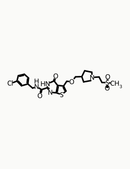 CS(=O)(=O)CCN1CCC(COCc2csc3nc(C(=O)NCc4cccc(Cl)c4)[nH]c(=O)c23)CC1